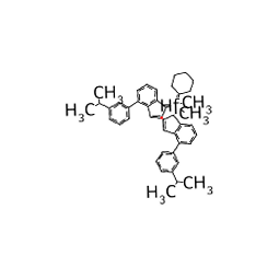 CC(C)c1cccc(-c2cccc3c2C=C[CH]3[Hf]([CH3])([CH3])(=[C]2CCCCC2)[CH]2C=Cc3c(-c4cccc(C(C)C)c4)cccc32)c1